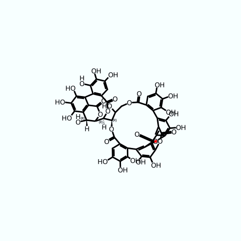 O=C1O[C@@H]([C@@H]2OC(=O)c3cc(O)c(O)c(O)c3-c3c(O)c(O)c4oc(=O)c5c(c(O)c(O)c6oc(=O)c3c4c65)-c3c(cc(O)c(O)c3O)C(=O)OCC2O)C2OC(=O)c3c(c(O)c(O)c(O)c3[C@H]2O)-c2c1cc(O)c(O)c2O